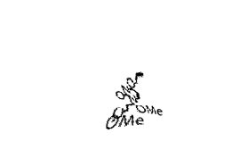 C=CCOc1ccn(C(CCOOC)OC)c(=O)n1